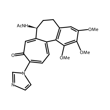 COc1cc2c(c(OC)c1OC)-c1ccc(-n3ccnc3)c(=O)cc1[C@@H](NC(C)=O)CC2